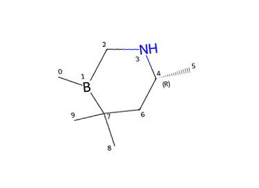 CB1CN[C@H](C)CC1(C)C